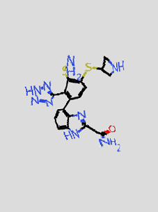 NSc1c(SC2CNC2)ccc(-c2cccc3[nH]c(C(N)=O)nc23)c1-c1nn[nH]n1